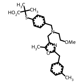 COCCN(Cc1ccc(SC(C)(C)C(=O)O)cc1)Cc1nc(Cc2cccc(C)c2)oc1C